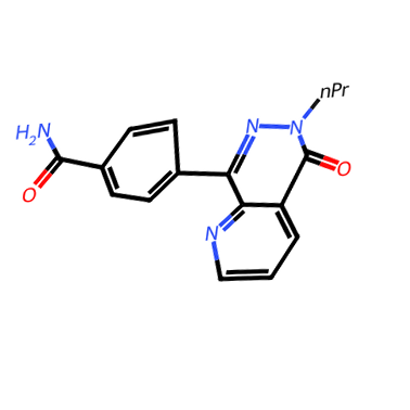 CCCn1nc(-c2ccc(C(N)=O)cc2)c2ncccc2c1=O